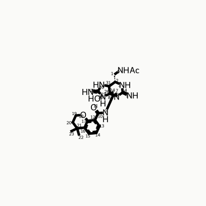 CC(=O)NC[C@@H]1NC(=N)N2CC(NC(=O)c3cccc4c3OCCC4(C)C)[C@@H](O)C23NC(=N)NC13